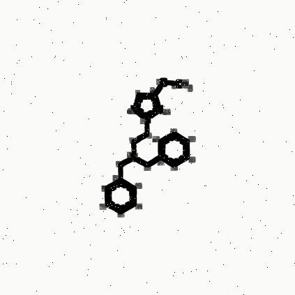 COc1cnn(CCN(Cc2ccccc2)Cc2ccccc2)n1